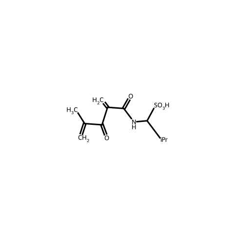 C=C(C)C(=O)C(=C)C(=O)NC(C(C)C)S(=O)(=O)O